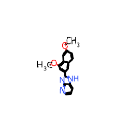 COc1ccc2cc(-c3nc4ncccc4[nH]3)cc(OC)c2c1